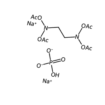 CC(=O)ON(CCN(OC(C)=O)OC(C)=O)OC(C)=O.O=P([O-])([O-])O.[Na+].[Na+]